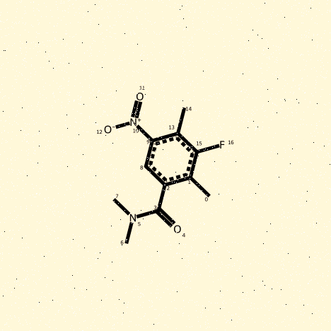 Cc1c(C(=O)N(C)C)cc([N+](=O)[O-])c(C)c1F